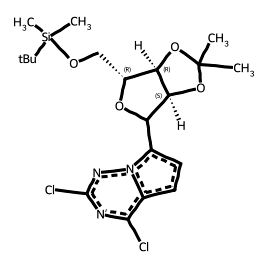 CC1(C)O[C@@H]2[C@@H](CO[Si](C)(C)C(C)(C)C)OC(c3ccc4c(Cl)nc(Cl)nn34)[C@@H]2O1